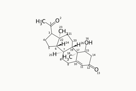 CC(=O)C1CC[C@H]2[C@@H]3CCC4=CC(=O)CC(O)[C@]4(C)[C@H]3CC[C@]12C